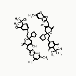 Cc1cc(C)n2nc(CC3=C(O)CC(CCc4ccc(C(C)(C)C#N)c(Cl)c4)(C4CCCC4)OC3=O)nc2n1.Cc1cnc2nc(CC3=C(O)CC(CCc4cc(F)c(C(C)(C)C#N)c(F)c4)(C4CCCC4)OC3=O)nn2c1